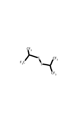 FC(F)(F)C(SSC(C(F)(F)F)C(F)(F)F)C(F)(F)F